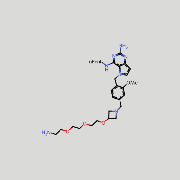 CCCCCNc1nc(N)nc2ccn(Cc3ccc(CN4CC(OCCOCCOCCN)C4)cc3OC)c12